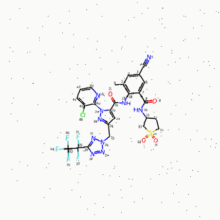 Cc1cc(C#N)cc(C(=O)NC2CCS(=O)(=O)C2)c1NC(=O)c1cc(Cn2nnc(C(F)(F)C(F)(F)F)n2)nn1-c1ncccc1Cl